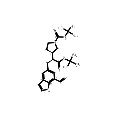 CC(C)(C)OC(=O)[C@@H](Cc1cc(C=O)c2occc2c1)[C@H]1CCN(C(=O)OC(C)(C)C)C1